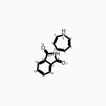 C1=CC=CNC=C1.O=C1NC(=O)c2ccccc21